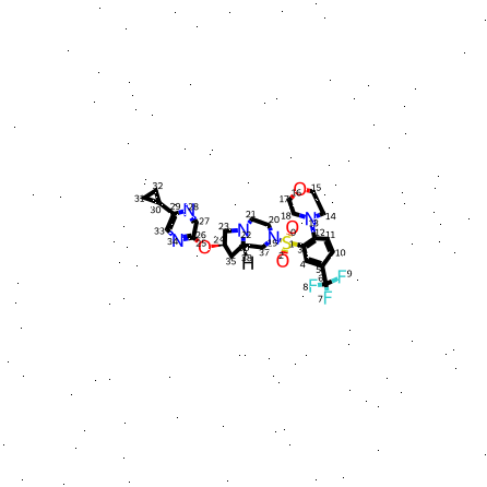 O=S(=O)(c1cc(C(F)(F)F)ccc1N1CCOCC1)N1CCN2C[C@H](Oc3cnc(C4CC4)cn3)C[C@H]2C1